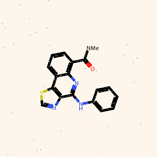 CNC(=O)c1cccc2c1nc(Nc1ccccc1)c1ncsc12